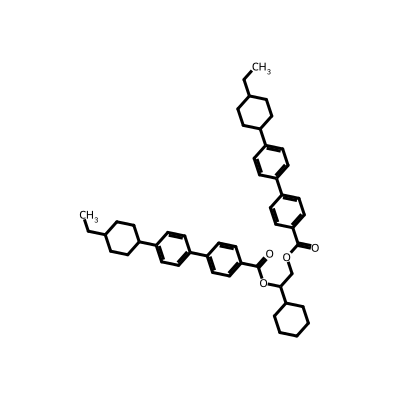 CCC1CCC(c2ccc(-c3ccc(C(=O)OCC(OC(=O)c4ccc(-c5ccc(C6CCC(CC)CC6)cc5)cc4)C4CCCCC4)cc3)cc2)CC1